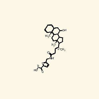 C[C@H](CCC(=O)NCc1ccc(C(=O)NO)o1)C1CCC2C3C(O)CC4CCCCC4(C)C3CCC21C